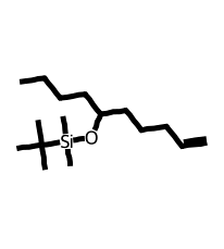 C=CCCCC(CCCC)O[Si](C)(C)C(C)(C)C